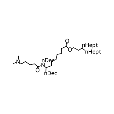 CCCCCCCCCCC(CCCCCCC(=O)OCCC(CCCCCCC)CCCCCCC)N(CCCCCCCCCC)C(=O)CCCCN(C)C